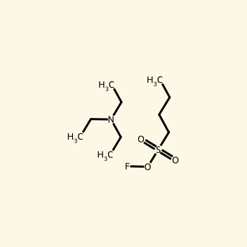 CCCCS(=O)(=O)OF.CCN(CC)CC